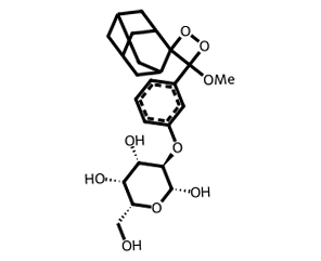 COC1(c2cccc(O[C@@H]3[C@@H](O)[C@@H](O)[C@@H](CO)O[C@H]3O)c2)OOC12C1CC3CC(C1)CC2C3